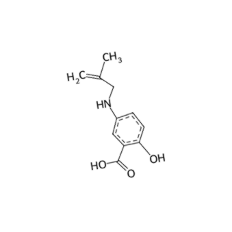 C=C(C)CNc1ccc(O)c(C(=O)O)c1